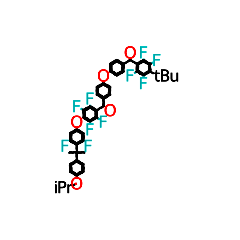 CC(C)Oc1ccc(C(CF)(CF)c2ccc(Oc3c(F)c(F)c(C(=O)c4ccc(Oc5ccc(C(=O)c6c(F)c(F)c(C(C)(C)C)c(F)c6F)cc5)cc4)c(F)c3F)cc2)cc1